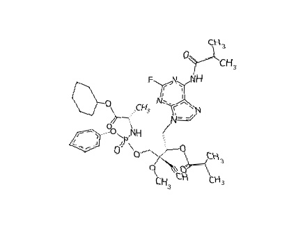 C#C[C@](COP(=O)(N[C@@H](C)C(=O)OC1CCCCC1)Oc1ccccc1)(OC)[C@H](Cn1cnc2c(NC(=O)C(C)C)nc(F)nc21)OC(=O)C(C)C